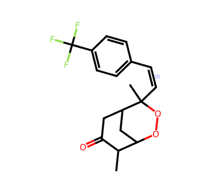 CC1C(=O)CC2CC1OOC2(C)/C=C\c1ccc(C(F)(F)F)cc1